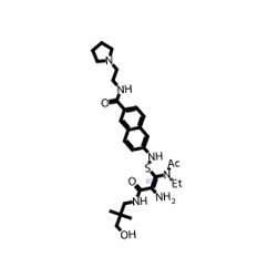 CCN(C(C)=O)/C(SNc1ccc2cc(C(=O)NCCN3CCCC3)ccc2c1)=C(\N)C(=O)NCC(C)(C)CO